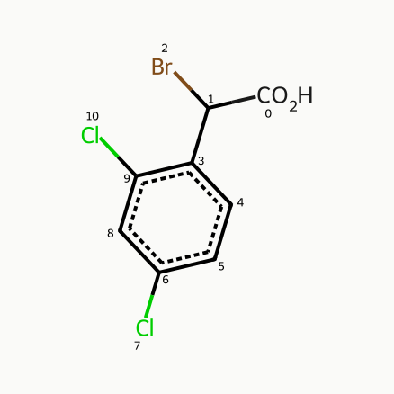 O=C(O)C(Br)c1ccc(Cl)cc1Cl